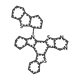 c1ccc2c(c1)sc1c(-n3c4ccccc4c4c5c6ccccc6sc5c5c6cncnc6sc5c43)cccc12